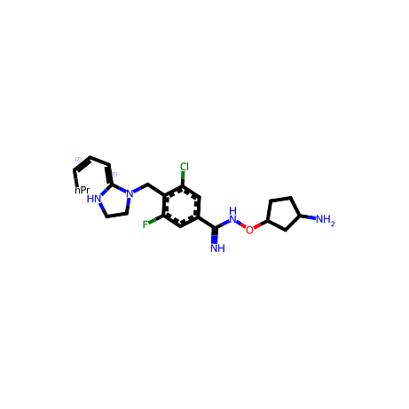 CCC/C=C\C=C1/NCCN1Cc1c(F)cc(C(=N)NOC2CCC(N)C2)cc1Cl